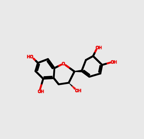 OC1=CC=C([C@@H]2Oc3cc(O)cc(O)c3C[C@H]2O)CC1O